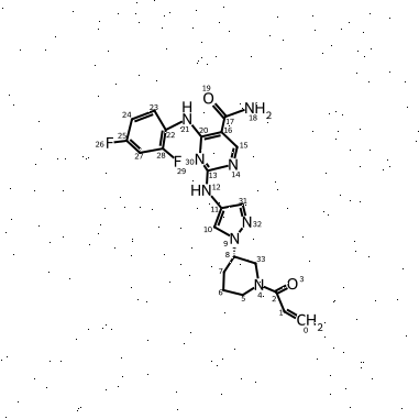 C=CC(=O)N1CCC[C@H](n2cc(Nc3ncc(C(N)=O)c(Nc4ccc(F)cc4F)n3)cn2)C1